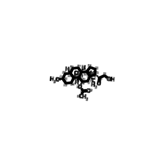 CC(=O)O[C@H]1C[C@]2(C)[C@@H](C(=O)CO)CC[C@H]2[C@@H]2CC[C@H]3C[C@H](C)CC[C@]3(C)[C@H]21